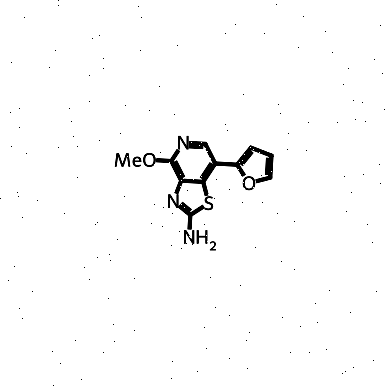 COc1ncc(-c2ccco2)c2sc(N)nc12